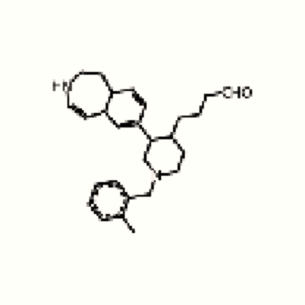 Cc1ccccc1CN1CCC(CCCC=O)C(C2=CC3C=CNCCC3C=C2)C1